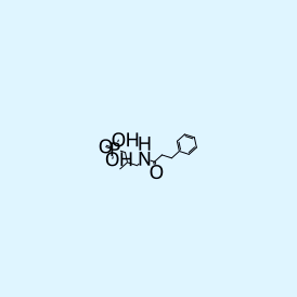 CC(CNC(=O)CCc1ccccc1)CP(=O)(O)O